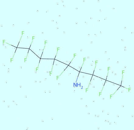 NC(F)(C(F)(F)C(F)(F)C(F)(F)F)C(F)(F)C(F)(F)C(F)(F)C(F)(F)C(F)(F)F